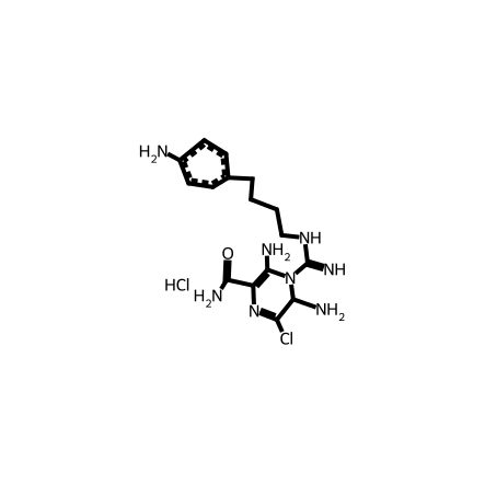 Cl.N=C(NCCCCc1ccc(N)cc1)N1C(N)=C(C(N)=O)N=C(Cl)C1N